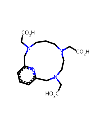 O=C(O)CN1CCCN(CC(=O)O)Cc2cccc(n2)CN(CC(=O)O)CC1